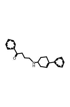 O=C(CCCNC1CC=C(c2ccccc2)CC1)c1ccccc1